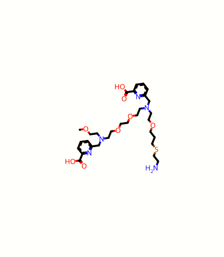 COCCN(CCOCCOCCN(CCOCCCSCCN)Cc1cccc(C(=O)O)n1)Cc1cccc(C(=O)O)n1